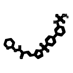 CS(=O)(=O)Nc1cccc(-c2ccc(S(=O)(=O)n3ccc(C=CC(=O)NOC4CCCCO4)c3)cc2)c1